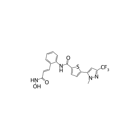 Cn1nc(C(F)(F)F)cc1-c1ccc(C(=O)Nc2ccccc2/C=C/C(=O)NO)s1